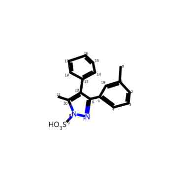 Cc1cccc(-c2nn(S(=O)(=O)O)c(C)c2-c2ccccc2)c1